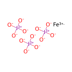 [Fe+3].[O-][I+3]([O-])([O-])[O-].[O-][I+3]([O-])([O-])[O-].[O-][I+3]([O-])([O-])[O-]